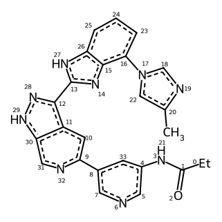 CCC(=O)Nc1cncc(-c2cc3c(-c4nc5c(-n6cnc(C)c6)cccc5[nH]4)n[nH]c3cn2)c1